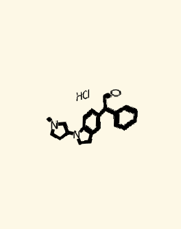 CN1CCC(N2CCc3cc(C(C=O)c4ccccc4)ccc32)C1.Cl